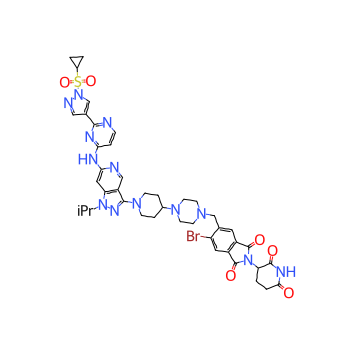 CC(C)n1nc(N2CCC(N3CCN(Cc4cc5c(cc4Br)C(=O)N(C4CCC(=O)NC4=O)C5=O)CC3)CC2)c2cnc(Nc3ccnc(-c4cnn(S(=O)(=O)C5CC5)c4)n3)cc21